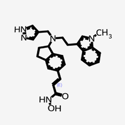 Cn1cc(CCN(Cc2cn[nH]c2)C2CCc3cc(/C=C/C(=O)NO)ccc32)c2ccccc21